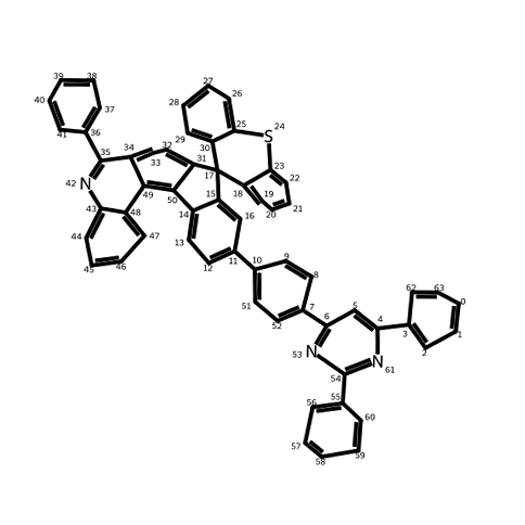 c1ccc(-c2cc(-c3ccc(-c4ccc5c(c4)C4(c6ccccc6Sc6ccccc64)c4ccc6c(-c7ccccc7)nc7ccccc7c6c4-5)cc3)nc(-c3ccccc3)n2)cc1